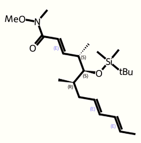 C/C=C/C=C/C[C@@H](C)[C@H](O[Si](C)(C)C(C)(C)C)[C@@H](C)/C=C/C(=O)N(C)OC